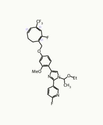 CCOC(C)n1cc(-c2ccc(OC/C3=C(F)/C=C(C(F)(F)F)\C=C/CC3)cc2OC)nc1-c1ccc(F)nc1